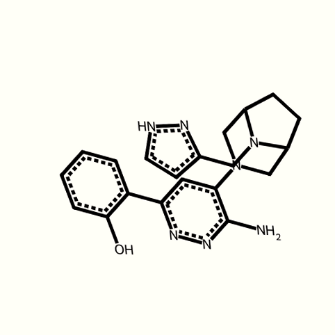 Nc1nnc(-c2ccccc2O)cc1N1CC2CCC(C1)N2Cc1cc[nH]n1